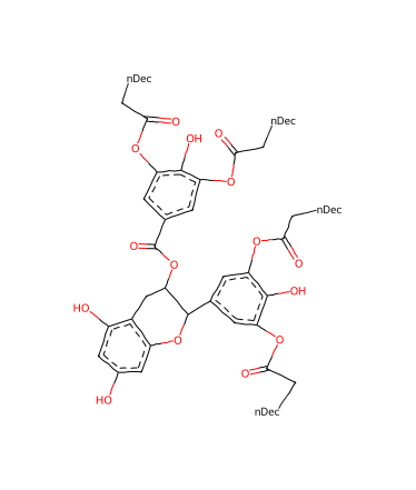 CCCCCCCCCCCC(=O)Oc1cc(C(=O)OC2Cc3c(O)cc(O)cc3OC2c2cc(OC(=O)CCCCCCCCCCC)c(O)c(OC(=O)CCCCCCCCCCC)c2)cc(OC(=O)CCCCCCCCCCC)c1O